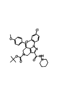 COc1ccc(C=C2CN(C(=O)OC(C)(C)C)Cc3c(C(=O)NN4CCCCC4)nn(-c4ccc(Cl)cc4Cl)c32)cc1